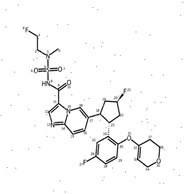 CN(CCF)S(=O)(=O)NC(=O)c1cnc2ccc(C3C[C@@H](F)C[C@@H]3c3cc(F)ccc3OC3=CCOCC3)cn12